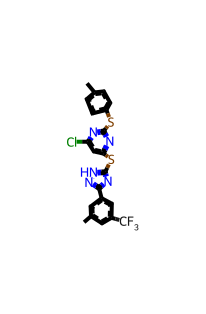 Cc1ccc(Sc2nc(Cl)cc(Sc3nc(-c4cc(C)cc(C(F)(F)F)c4)n[nH]3)n2)cc1